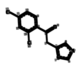 O=C(Cc1cncs1)c1ccc(Cl)cc1Cl